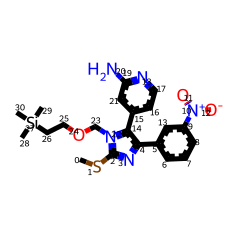 CSc1nc(-c2cccc([N+](=O)[O-])c2)c(-c2ccnc(N)c2)n1COCC[Si](C)(C)C